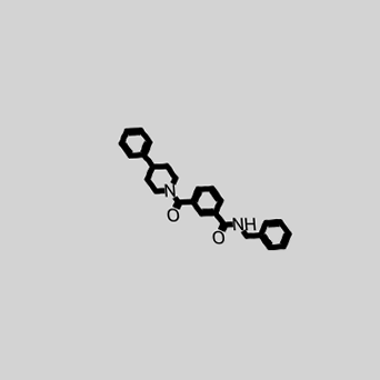 O=C(NCc1ccccc1)c1cccc(C(=O)N2CCC(c3ccccc3)CC2)c1